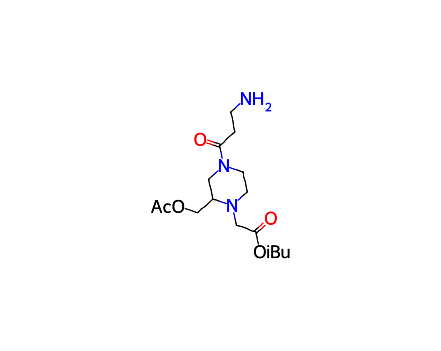 CC(=O)OCC1CN(C(=O)CCN)CCN1CC(=O)OCC(C)C